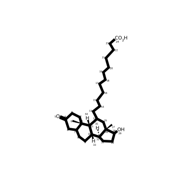 C[C@]12CCC(=O)CC1CC[C@@H]1[C@H]2C(CCCCCCCCCCCC(=O)O)C[C@]2(C)C(O)CC[C@@H]12